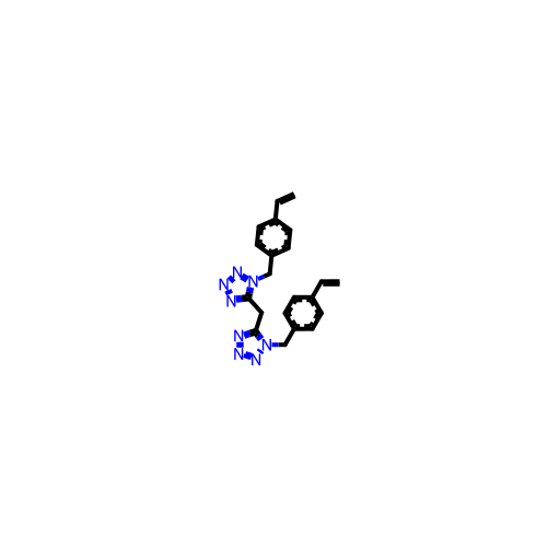 C=Cc1ccc(Cn2nnnc2Cc2nnnn2Cc2ccc(C=C)cc2)cc1